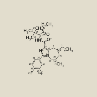 CCN1Cc2c(C(=O)NC(C(=O)NC)C(C)(C)C)nc(-c3ccc(F)c(F)c3)n2C[C@@H](C)C1